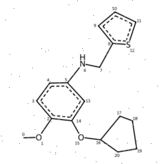 COc1ccc(NCc2cccs2)cc1OC1CCCC1